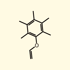 C=COc1c(C)c(C)c(C)c(C)c1C